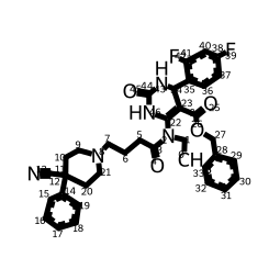 CCN(C(=O)CCCN1CCC(C#N)(c2ccccc2)CC1)C1=C(C(=O)OCc2ccccc2)C(c2ccc(F)cc2F)NC(=O)N1